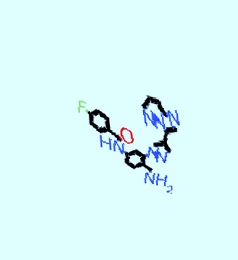 NCc1ccc(NC(=O)c2ccc(F)cc2)cc1-n1cc(-c2cnc3cccnn23)cn1